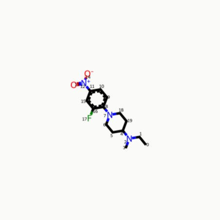 CCN(C)C1CCN(c2ccc([N+](=O)[O-])cc2F)CC1